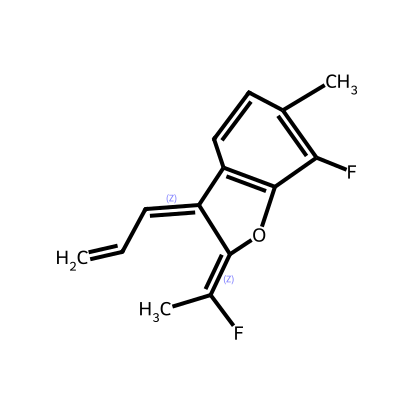 C=C/C=c1\c(=C(/C)F)oc2c(F)c(C)ccc12